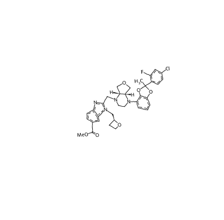 COC(=O)c1ccc2nc(CN3CCN(c4cccc5c4OC(C)(c4ccc(Cl)cc4F)O5)[C@H]4COC[C@H]43)n(C[C@@H]3CCO3)c2c1